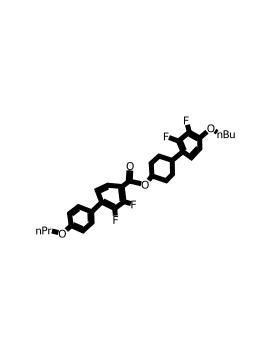 CCCCOc1ccc(C2CCC(OC(=O)c3ccc(-c4ccc(OCCC)cc4)c(F)c3F)CC2)c(F)c1F